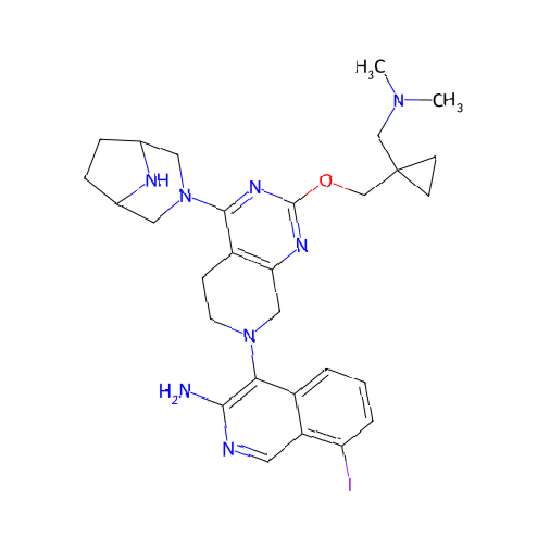 CN(C)CC1(COc2nc3c(c(N4CC5CCC(C4)N5)n2)CCN(c2c(N)ncc4c(I)cccc24)C3)CC1